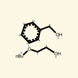 CCCCOCCO.OCc1ccccc1